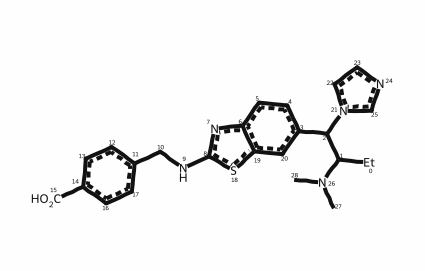 CCC(C(c1ccc2nc(NCc3ccc(C(=O)O)cc3)sc2c1)n1ccnc1)N(C)C